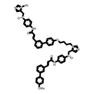 CCCn1cncc1C[S@@+]([O-])c1ccc(NC(=O)/C=C/c2cccc(-c3ccc(OCCCCn4cncc4C[S@+]([O-])c4ccc(NC(=O)/C=C/c5cccc(-c6ccc(OC)cc6)c5)cc4)cc3)c2)cc1